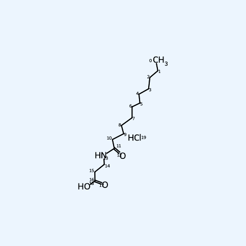 CCCCCCCCCCCC(=O)NCCC(=O)O.Cl